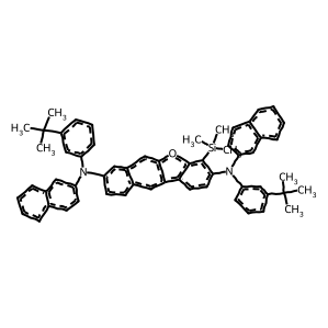 CC(C)(C)c1cccc(N(c2ccc3ccccc3c2)c2ccc3cc4c(cc3c2)oc2c([Si](C)(C)C)c(N(c3cccc(C(C)(C)C)c3)c3ccc5ccccc5c3)ccc24)c1